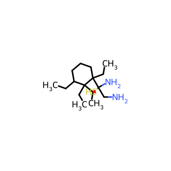 CCC1CCCC(CC)(C(N)(S)CN)C1(CC)CC